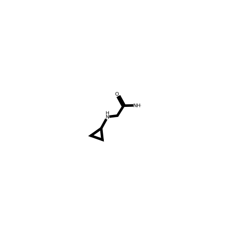 [NH]C(=O)CNC1CC1